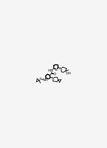 CC1(O)CCN(c2cccc(NC(=O)c3ccc(NSC4(C)CC4)cc3N3CCC4(CC3)CC4)n2)CC1